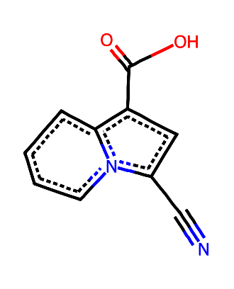 N#Cc1cc(C(=O)O)c2ccccn12